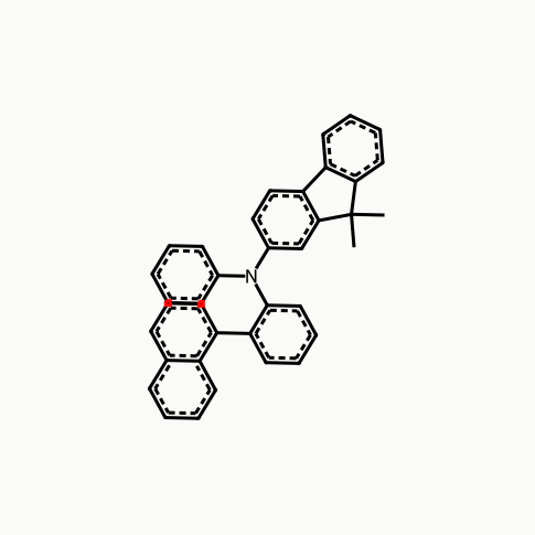 CC1(C)c2ccccc2-c2ccc(N(c3ccccc3)c3ccccc3-c3cccc4ccccc34)cc21